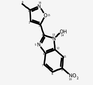 Cc1cc(-c2nc3ccc([N+](=O)[O-])cc3n2O)on1